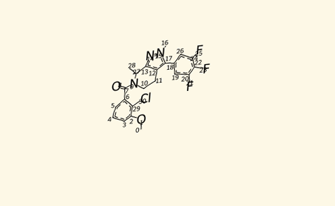 COc1cccc(C(=O)N2CCc3c(nn(C)c3-c3cc(F)c(F)c(F)c3)C2C)c1Cl